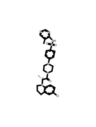 Cc1cncnc1NS(=O)(=O)c1ccc(N2CCN(C(=O)[C@@H](C)N3CCCc4cc(Cl)ccc43)CC2)cc1